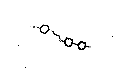 CCCCCCCC[C@H]1CC[C@H](CCCOc2ccc(-c3ccc(F)cc3)cc2)CC1